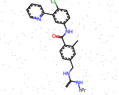 C=C(NCCC)NCc1ccc(C(=O)Nc2ccc(Cl)c(-c3ccccn3)c2)c(C)c1